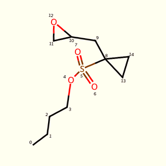 CCCCOS(=O)(=O)C1(CC2CO2)CC1